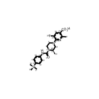 Cc1nc(N2CCN(C(=O)Nc3ccc([Si](C)(C)C)cc3)[C@H](C)C2)c(F)cc1C(=O)O